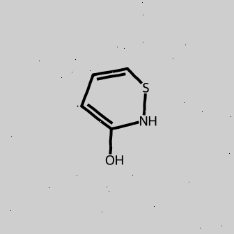 OC1=[C]C=CSN1